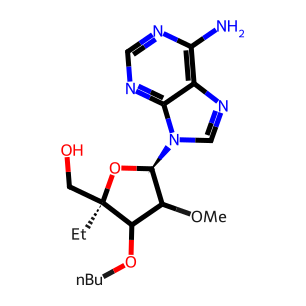 CCCCOC1C(OC)[C@H](n2cnc3c(N)ncnc32)O[C@]1(CC)CO